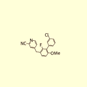 COc1ccc(Cc2ccnc(C#N)c2)c(F)c1-c1cccc(Cl)c1